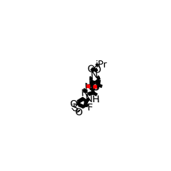 Cc1c(Nc2ccc(S(C)(=O)=O)cc2F)ncnc1OC1C2CN(C(=O)OC(C)C)CC1C(C)OC2C